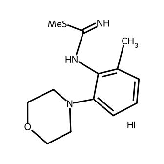 CSC(=N)Nc1c(C)cccc1N1CCOCC1.I